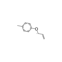 C=C[CH]Oc1ccc(C)cc1